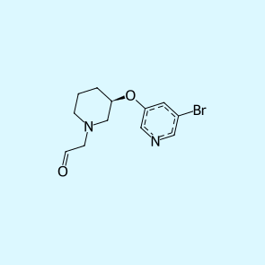 O=CCN1CCC[C@@H](Oc2cncc(Br)c2)C1